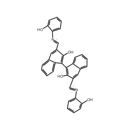 Oc1ccccc1/N=C/c1cc2ccccc2c(-c2c(O)c(/C=N/c3ccccc3O)cc3ccccc23)c1O